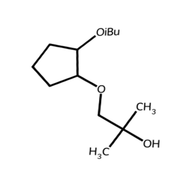 CC(C)COC1CCCC1OCC(C)(C)O